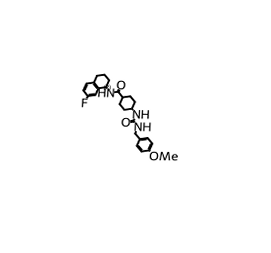 COc1ccc(CNC(=O)NC2CCC(C(=O)N[C@@H]3CCCc4ccc(F)cc43)CC2)cc1